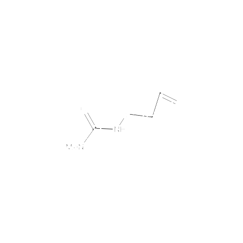 C=CCSNC(=O)NC